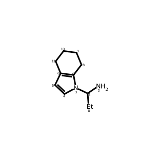 CCC(N)n1ccc2c1CCCC2